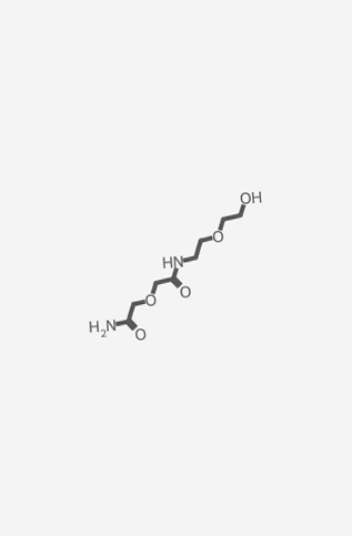 NC(=O)COCC(=O)NCCOCCO